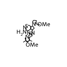 COC[C@@H]1CCCN1C1CC2=NN(Cc3ncc(C)c(OC)c3C)N=C3C(N)=NSCC1=C23